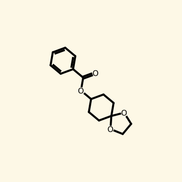 O=C(OC1CCC2(CC1)OCCO2)c1ccccc1